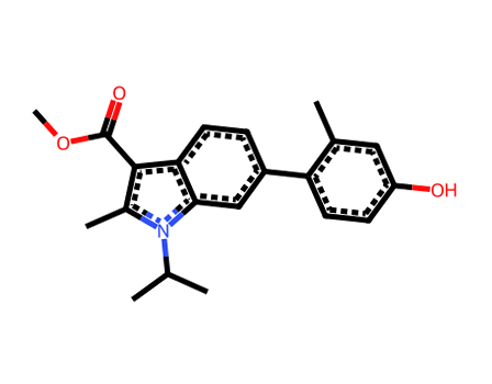 COC(=O)c1c(C)n(C(C)C)c2cc(-c3ccc(O)cc3C)ccc12